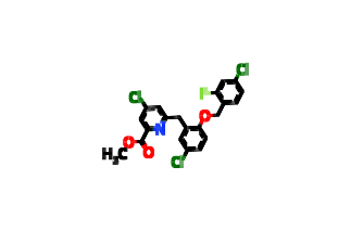 COC(=O)c1cc(Cl)cc(Cc2cc(Cl)ccc2OCc2ccc(Cl)cc2F)n1